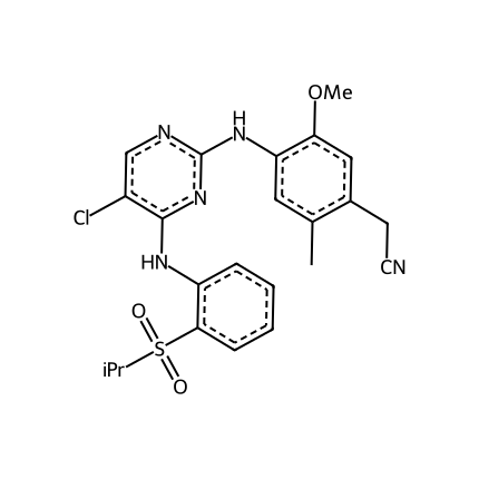 COc1cc(CC#N)c(C)cc1Nc1ncc(Cl)c(Nc2ccccc2S(=O)(=O)C(C)C)n1